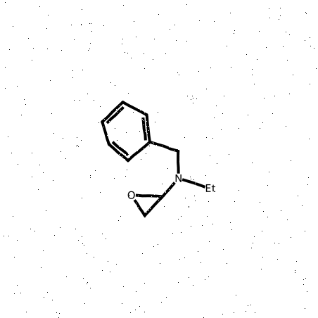 CCN(Cc1ccccc1)C1CO1